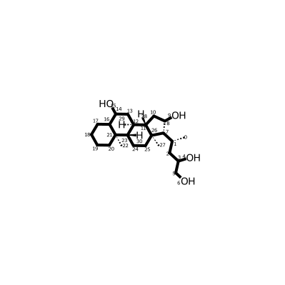 C[C@H](CC(O)CO)[C@H]1C(O)C[C@H]2[C@@H]3CC(O)C4CCCC[C@]4(C)[C@H]3CC[C@]12C